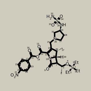 CC[Si](CC)(CC)O[C@H](C)C1C(=O)N2C(C(=O)OC(=O)c3ccc([N+](=O)[O-])cc3)=C(CN3CC[C@H](NS(N)(=O)=O)C3)[C@H](C)[C@H]12